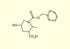 CCOC(=O)C1CC(O)CN(C(=O)OCc2ccccc2)C1C